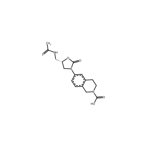 CC(=S)NC[C@H]1CN(c2ccc3c(c2)CCN(C(=O)O)C3)C(=O)O1